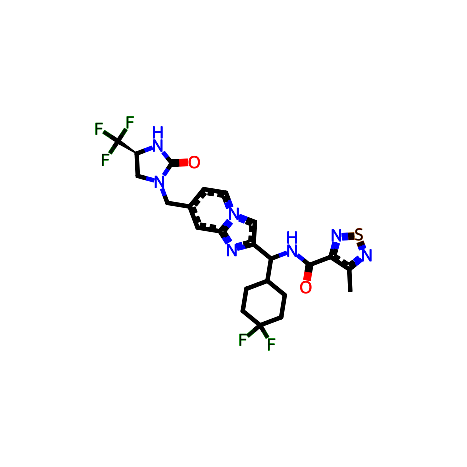 Cc1nsnc1C(=O)NC(c1cn2ccc(CN3C[C@@H](C(F)(F)F)NC3=O)cc2n1)C1CCC(F)(F)CC1